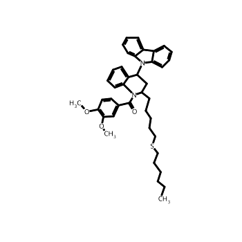 CCCCCCSCCCCCC1CC(n2c3ccccc3c3ccccc32)c2ccccc2N1C(=O)c1ccc(OC)c(OC)c1